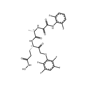 C[C@H](NC(=O)C(=O)Nc1c(F)cccc1F)C(=O)N[C@@H](CCC(=O)NO)C(=O)COc1c(F)c(F)cc(F)c1F